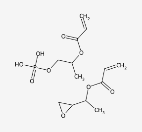 C=CC(=O)OC(C)C1CO1.C=CC(=O)OC(C)COP(=O)(O)O